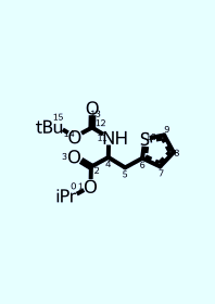 CC(C)OC(=O)C(Cc1cccs1)NC(=O)OC(C)(C)C